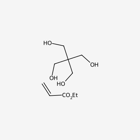 C=CC(=O)OCC.OCC(CO)(CO)CO